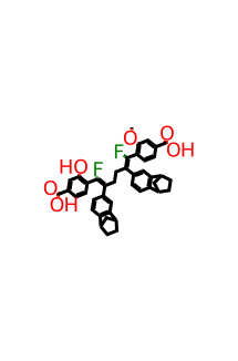 COc1cc(C(=O)O)ccc1/C(F)=C(/CC/C(=C(\F)c1ccc(C(=O)O)cc1O)c1ccc2c(c1)C1CCC2C1)c1ccc2c(c1)C1CCC2C1